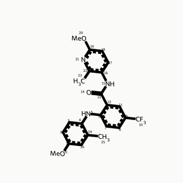 COc1ccc(Nc2ccc(C(F)(F)F)cc2C(=O)Nc2ccc(OC)nc2C)c(C)c1